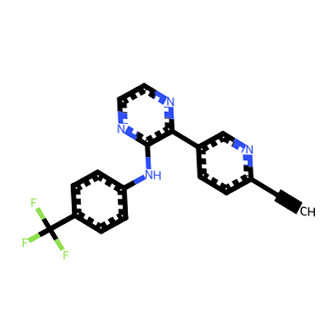 C#Cc1ccc(-c2nccnc2Nc2ccc(C(F)(F)F)cc2)cn1